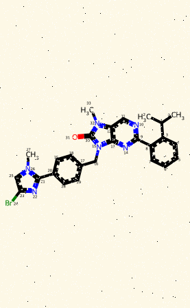 CC(C)c1ccccc1-c1ncc2c(n1)n(Cc1ccc(-c3nc(Br)cn3C)cc1)c(=O)n2C